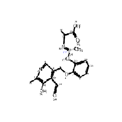 Cc1ncc(COc2ccccc2O/[P+]([O-])=N/C(C)C(=O)O)c(C=O)c1O